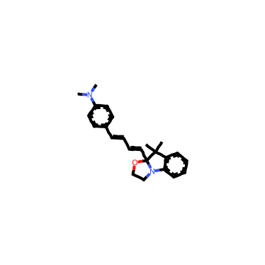 CN(C)c1ccc(C=CC=CC23OCCN2c2ccccc2C3(C)C)cc1